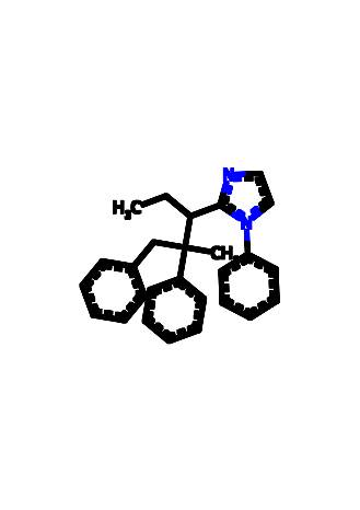 CCC(c1nccn1-c1ccccc1)C(C)(Cc1ccccc1)c1ccccc1